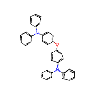 c1ccc(N(c2ccccc2)c2ccc(Oc3ccc(N(c4ccccc4)c4ccccc4)cc3)cc2)cc1